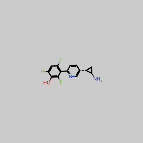 N[C@@H]1C[C@H]1c1ccc(-c2c(F)cc(F)c(O)c2F)nc1